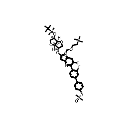 CC(C)(C)[Si](C)(C)O[C@@H]1CO[C@H]2[C@@H]1OC[C@H]2Oc1cc2nc(-c3ccc(-c4ccc(N=S(C)(C)=O)cc4)cc3F)c(F)cc2n1COCC[Si](C)(C)C